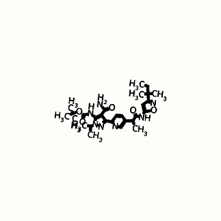 CCC(C)(C)c1cc(NC(=O)C(C)c2ccc(-c3nn(C(C)C)c(NC(=O)OC(C)(C)C)c3C(N)=O)nc2)on1